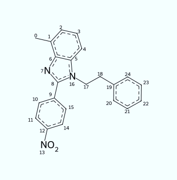 Cc1cccc2c1nc(-c1ccc([N+](=O)[O-])cc1)n2CCc1ccccc1